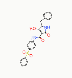 O=C(Nc1ccc(S(=O)(=O)c2ccccc2)cc1)C1=C(O)C(Cc2ccccc2)NC1=O